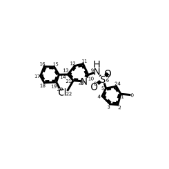 Cc1cccc(S(=O)(=O)Nc2ccc(-c3ccccc3Cl)c(C)n2)c1